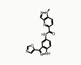 Cn1ncc2nc(C(=O)Nc3ccc4[nH]nc(-c5cnco5)c4c3)ccc21